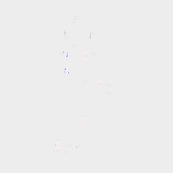 FC(F)(F)c1nnc(-c2cc3c(OC[C@@H]4CO4)cccc3o2)o1